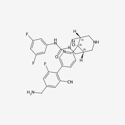 N#Cc1cc(CN)cc(F)c1-c1ccc([C@]2(O)[C@@H]3CNC[C@H]2CN(C(=O)Nc2cc(F)cc(F)c2)C3)nc1